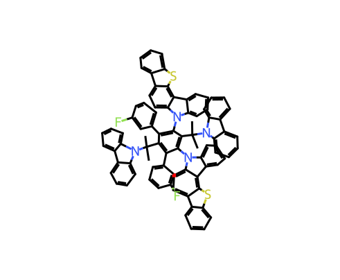 CC(C)(c1c(-c2cccc(F)c2)c(-n2c3ccccc3c3c4sc5ccccc5c4ccc32)c(C(C)(C)n2c3ccccc3c3ccccc32)c(-n2c3ccccc3c3c4sc5ccccc5c4ccc32)c1-c1cccc(F)c1)n1c2ccccc2c2ccccc21